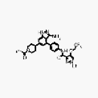 CCn1cc(OCC(F)(F)F)c(C(=O)Nc2ccc(-c3cc(C4CCN(C(=O)C(C)C)CC4)cc4[nH]nc(N)c34)cc2)n1